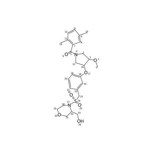 COC1CN(C(=O)c2cc(C)ccc2C)CC1Oc1cccc(CS(=O)(=O)N2CCOCC2CO)c1